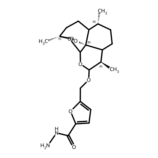 C[C@H]1C(OCc2ccc(C(=O)NN)o2)OC2O[C@]3(C)CCC4[C@H](C)CCC1[C@@]24OO3